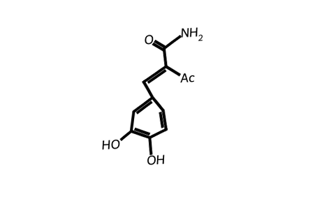 CC(=O)/C(=C\c1ccc(O)c(O)c1)C(N)=O